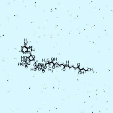 CCC=C(O)C(=O)SCCNC(=O)CCNC(=O)[C@H](O)C(C)(C)COP(=O)(O)OP(=O)(O)OC[C@H]1O[C@@H](n2cnc3c(N)ncnc32)[C@H](O)[C@@H]1OP(=O)(O)O